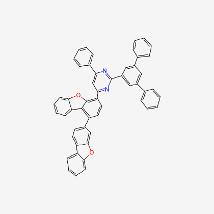 c1ccc(-c2cc(-c3ccccc3)cc(-c3nc(-c4ccccc4)cc(-c4ccc(-c5ccc6c(c5)oc5ccccc56)c5c4oc4ccccc45)n3)c2)cc1